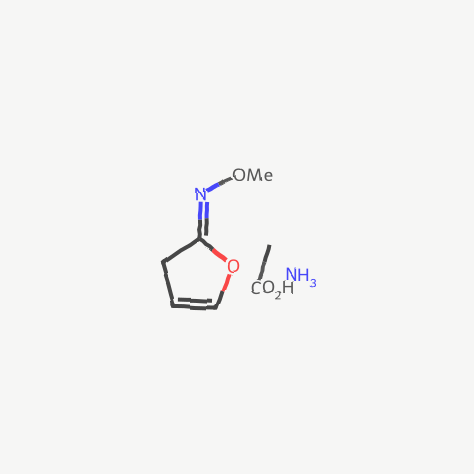 CC(=O)O.CON=C1CC=CO1.N